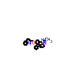 Cn1nnc(-c2ccc(OCc3ccc4ccccc4n3)cc2C2(c3ccccc3)CC3CCC2C3)n1